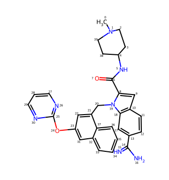 CN1CCC(NC(=O)c2cc3ccc(C(=N)N)cc3n2Cc2cc(Oc3ncccn3)cc3ccccc23)CC1